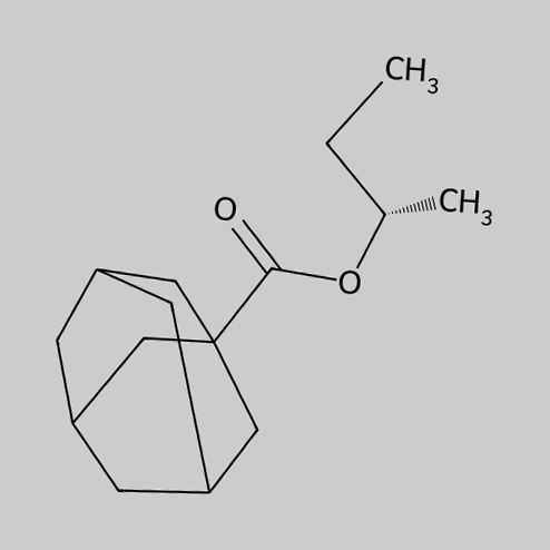 CC[C@H](C)OC(=O)C12CC3CC(CC(C3)C1)C2